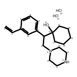 C=Cc1cccc(C(CN2CCNCC2)C2(O)CCCCC2)c1.Cl.Cl